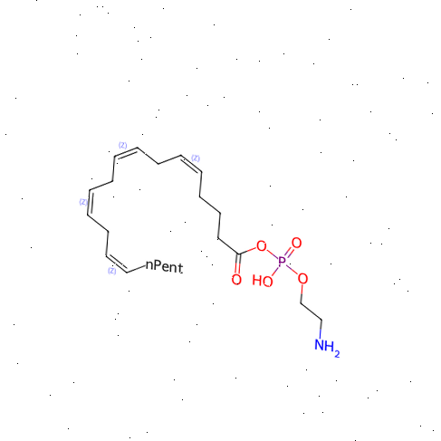 CCCCC/C=C\C/C=C\C/C=C\C/C=C\CCCC(=O)OP(=O)(O)OCCN